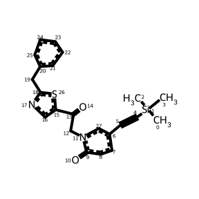 C[Si](C)(C)C#Cc1ccc(=O)n(CC(=O)c2cnc(Cc3ccccc3)s2)c1